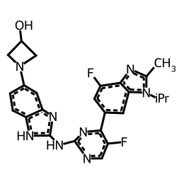 Cc1nc2c(F)cc(-c3nc(Nc4nc5cc(N6CC(O)C6)ccc5[nH]4)ncc3F)cc2n1C(C)C